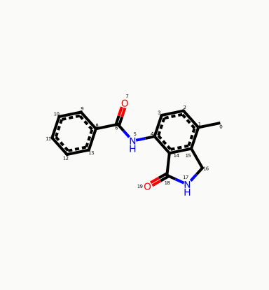 Cc1ccc(NC(=O)c2ccccc2)c2c1CNC2=O